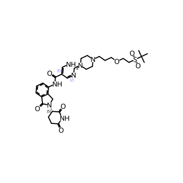 CC(C)(C)S(=O)(=O)CCOCCCN1CCN(C/N=C\C(=C/N)C(=O)Nc2cccc3c2CN([C@H]2CCC(=O)NC2=O)C3=O)CC1